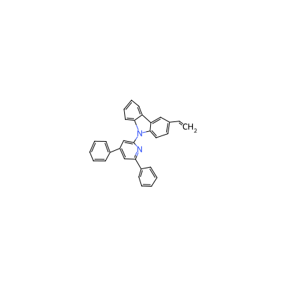 C=Cc1ccc2c(c1)c1ccccc1n2-c1cc(-c2ccccc2)cc(-c2ccccc2)n1